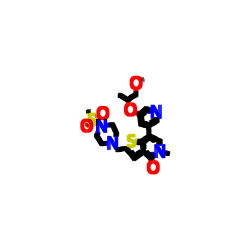 COCC(C)Oc1cncc(-c2cn(C)c(=O)c3cc(CN4CCN(S(C)(=O)=O)CC4)sc23)c1